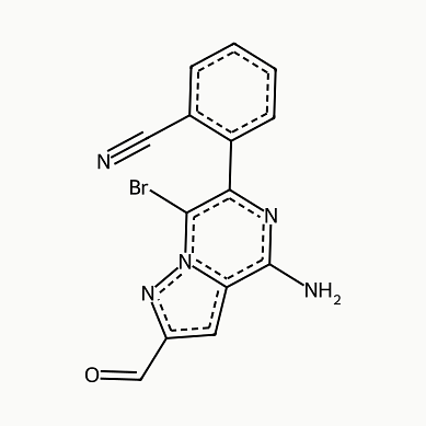 N#Cc1ccccc1-c1nc(N)c2cc(C=O)nn2c1Br